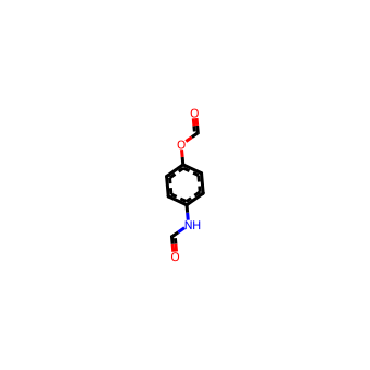 O=CNc1ccc(OC=O)cc1